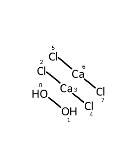 OO.[Cl][Ca][Cl].[Cl][Ca][Cl]